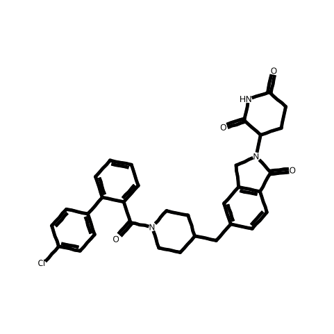 O=C1CCC(N2Cc3cc(CC4CCN(C(=O)c5ccccc5-c5ccc(Cl)cc5)CC4)ccc3C2=O)C(=O)N1